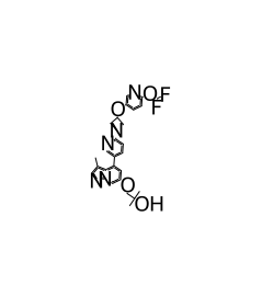 Cc1cnn2cc(OCC(C)(C)O)cc(-c3ccc(N4CC(Oc5ccc(OC(F)F)nc5)C4)nc3)c12